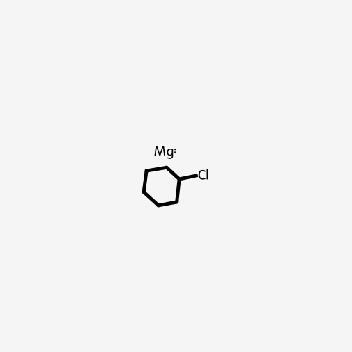 ClC1CCCCC1.[Mg]